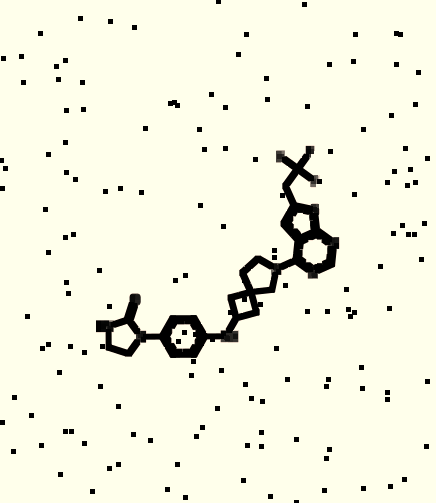 O=C1NCCN1c1ccc(NC2CC3(CCN(c4ncnc5sc(CC(F)(F)F)cc45)C3)C2)cc1